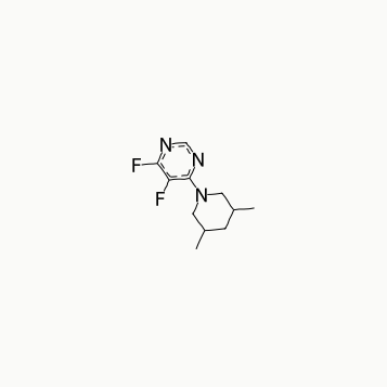 CC1CC(C)CN(c2ncnc(F)c2F)C1